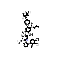 C=CC(=O)Nc1cc(NC(=N)/C=C(\NN)N2OCC[C@@H]2c2ccc(Cl)c(Cl)c2F)c(OC)cc1N1CCC(N2C[C@H]3C[C@@H]2CO3)CC1